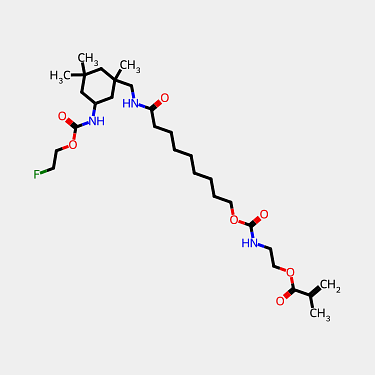 C=C(C)C(=O)OCCNC(=O)OCCCCCCCCC(=O)NCC1(C)CC(NC(=O)OCCF)CC(C)(C)C1